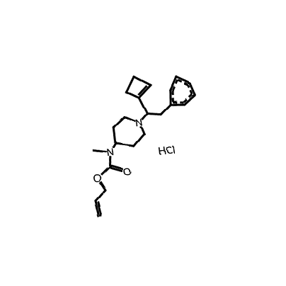 C=CCOC(=O)N(C)C1CCN(C(Cc2ccccc2)C2=CCC2)CC1.Cl